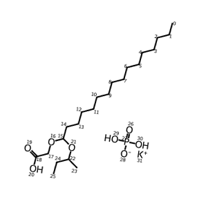 CCCCCCCCCCCCCCCC(OCC(=O)O)OC(C)CC.O=P([O-])(O)O.[K+]